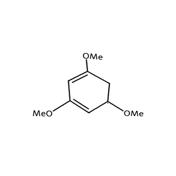 CO[C]1C=C(OC)C=C(OC)C1